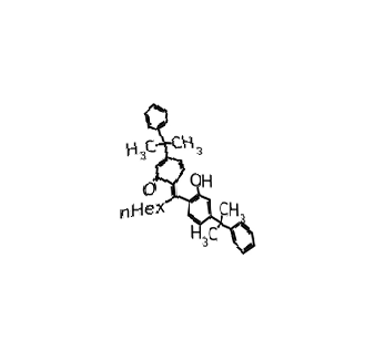 CCCCCCC(=C1C=CC(C(C)(C)c2ccccc2)=CC1=O)c1ccc(C(C)(C)c2ccccc2)cc1O